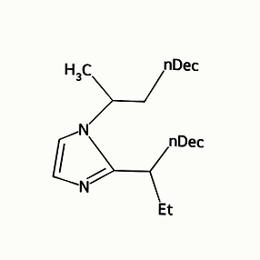 CCCCCCCCCCCC(C)n1ccnc1C(CC)CCCCCCCCCC